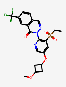 CCS(=O)(=O)c1cc(OC2CC(OC)C2)cnc1-n1ncc2ccc(C(F)(F)F)cc2c1=O